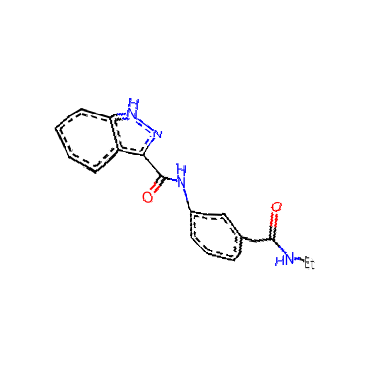 CCNC(=O)c1cccc(NC(=O)c2n[nH]c3ccccc23)c1